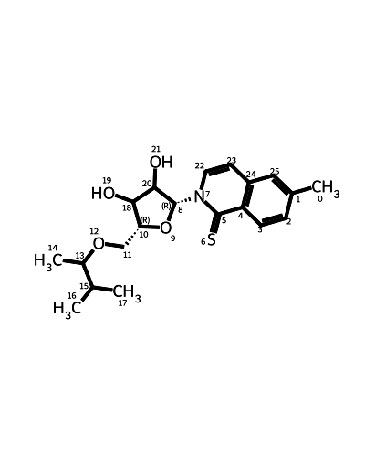 Cc1ccc2c(=S)n([C@@H]3O[C@H](COC(C)C(C)C)C(O)C3O)ccc2c1